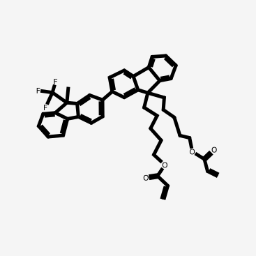 C=CC(=O)OCCCCCC1(CCCCCOC(=O)C=C)c2ccccc2-c2ccc(-c3ccc4c(c3)C(C)(C(F)(F)F)c3ccccc3-4)cc21